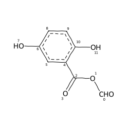 O=COC(=O)c1cc(O)ccc1O